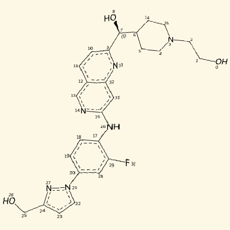 OCCN1CCC([C@H](O)c2ccc3cnc(Nc4ccc(-n5ccc(CO)n5)cc4F)cc3n2)CC1